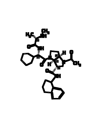 CN[C@@H](C)C(=O)N[C@H](C(=O)N1CC[C@@H]2[C@H]1[C@@H](C(=O)NC1CCCc3ccccc31)CN2C(C)=O)C1CCCCC1